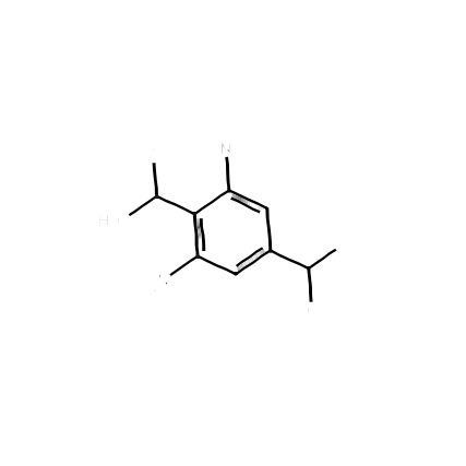 CC(C)c1cc(N)c(C(C)C)c(N)c1